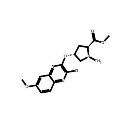 COC(=O)[C@@H]1C[C@@H](Oc2nc3cc(OC)ccc3nc2Cl)CN1P